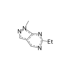 CCc1ncc2cnn(C)c2n1